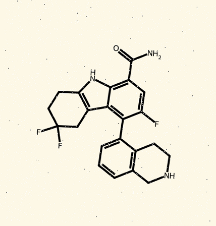 NC(=O)c1cc(F)c(-c2cccc3c2CCNC3)c2c3c([nH]c12)CCC(F)(F)C3